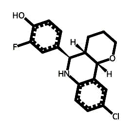 Oc1ccc([C@@H]2Nc3ccc(Cl)cc3[C@H]3OCCC[C@H]32)cc1F